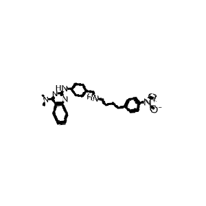 CN(C)c1nc(NC2CCC(CNCCCCc3ccc([N+](=O)[O-])cc3)CC2)nc2c1CCCC2